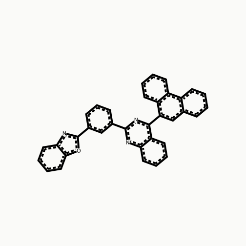 c1cc(-c2nc(-c3cc4ccccc4c4ccccc34)c3ccccc3n2)cc(-c2nc3ccccc3o2)c1